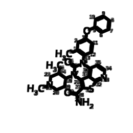 Cc1cc(Oc2ccccc2)ccc1N1C(=O)N(C2CCN(C)CC2C)c2c(C(N)=O)sc3nccc1c23